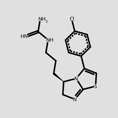 N=C(N)NCCC[C@@H]1CN=C2SC=C(c3ccc(Cl)cc3)N21